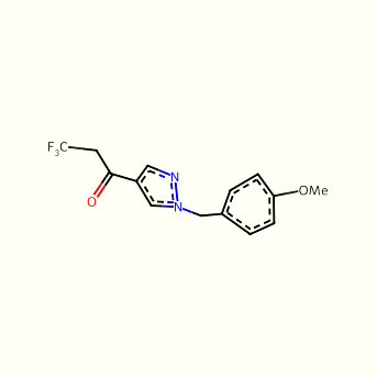 COc1ccc(Cn2cc(C(=O)CC(F)(F)F)cn2)cc1